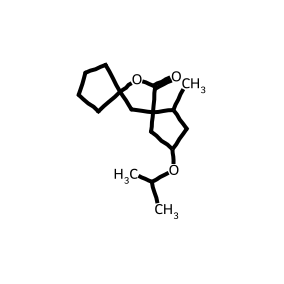 CC(C)OC1CC(C)C2(C1)CC1(CCCC1)OC2=O